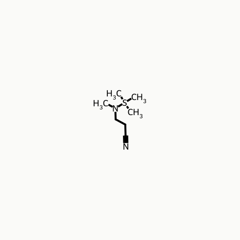 CN(CCC#N)S(C)(C)C